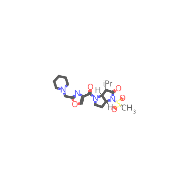 CC(C)[C@@H]1C(=O)N(S(C)(=O)=O)[C@@H]2CCN(C(=O)c3coc(CN4CCCCC4)n3)[C@H]21